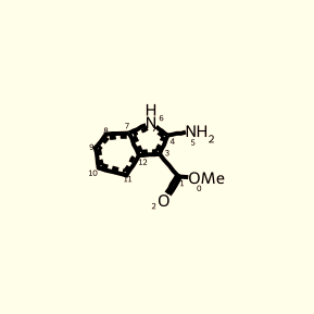 COC(=O)c1c(N)[nH]c2ccccc12